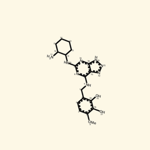 COc1ccc(CNc2nc(NC3CCCCC3N)nc3[nH]nnc23)c(O)c1O